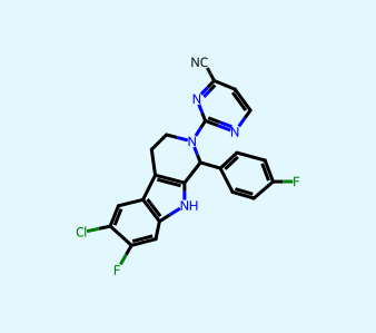 N#Cc1ccnc(N2CCc3c([nH]c4cc(F)c(Cl)cc34)C2c2ccc(F)cc2)n1